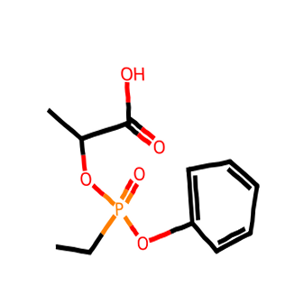 CCP(=O)(Oc1ccccc1)OC(C)C(=O)O